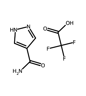 NC(=O)c1cn[nH]c1.O=C(O)C(F)(F)F